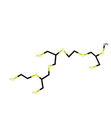 CCCSC(CS)CSCCSC(CS)CSCC(CS)SCCS